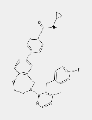 Cc1ncnc(N2CCOc3ccc(-c4ccc(C(=O)NC5CC5)cc4)cc3C2)c1Cc1ccc(F)cc1